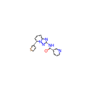 O=C(Nc1nc2cccc(-c3ccsc3)n2n1)c1cccnc1